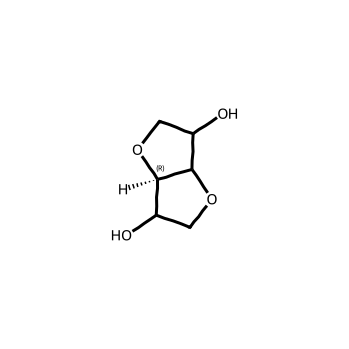 OC1CO[C@@H]2C(O)COC12